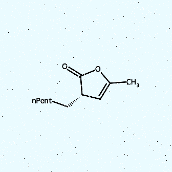 CCCCCC[C@H]1C=C(C)OC1=O